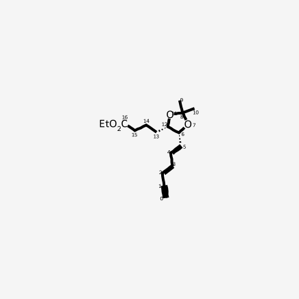 C#C/C=C/C=C/[C@H]1OC(C)(C)O[C@H]1CCCC(=O)OCC